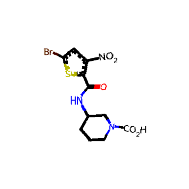 O=C(NC1CCCN(C(=O)O)C1)c1sc(Br)cc1[N+](=O)[O-]